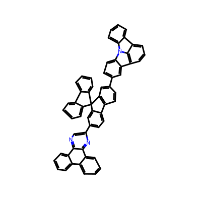 c1ccc2c(c1)-c1ccccc1C21c2cc(-c3ccc4c(c3)c3cccc5c6ccccc6n4c53)ccc2-c2ccc(-c3cnc4c5ccccc5c5ccccc5c4n3)cc21